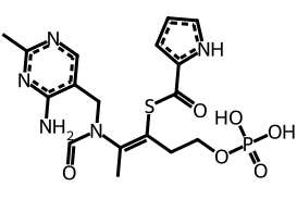 CC(=C(CCOP(=O)(O)O)SC(=O)c1ccc[nH]1)N(C=O)Cc1cnc(C)nc1N